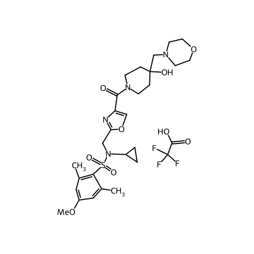 COc1cc(C)c(S(=O)(=O)N(Cc2nc(C(=O)N3CCC(O)(CN4CCOCC4)CC3)co2)C2CC2)c(C)c1.O=C(O)C(F)(F)F